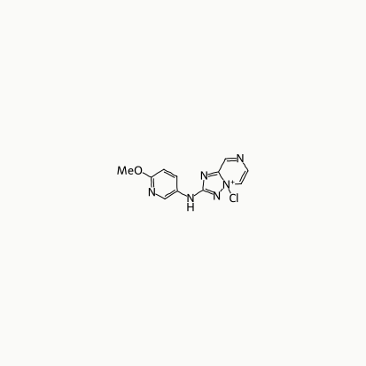 COc1ccc(NC2=N[N+]3(Cl)C=CN=CC3=N2)cn1